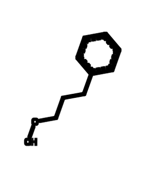 OOCCCc1ccccc1